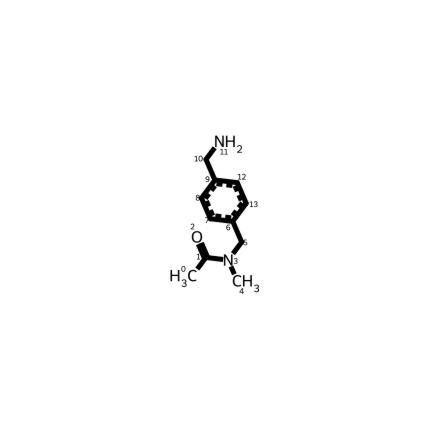 CC(=O)N(C)Cc1ccc(CN)cc1